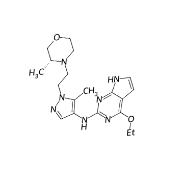 CCOc1nc(Nc2cnn(CCN3CCOC[C@H]3C)c2C)nc2[nH]ccc12